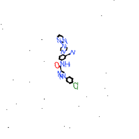 N#Cc1cc(NC(=O)c2cn(-c3ccc(Cl)cc3)nn2)ccc1N1CCN(c2ncccn2)CC1